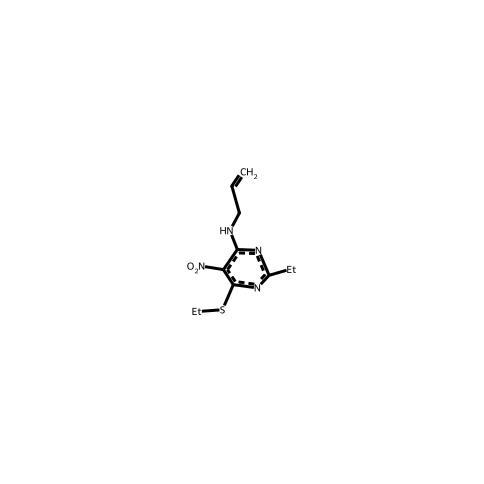 C=CCNc1nc(CC)nc(SCC)c1[N+](=O)[O-]